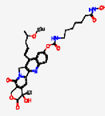 CC[C@@]1(O)C(=O)OCc2c1cc1n(c2=O)Cc2c-1nc1ccc(OC(=O)NCCCCCCC(=O)NO)cc1c2/C=C/CC(C)OC(C)(C)C